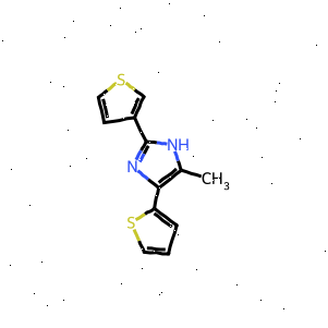 Cc1[nH]c(-c2ccsc2)nc1-c1cccs1